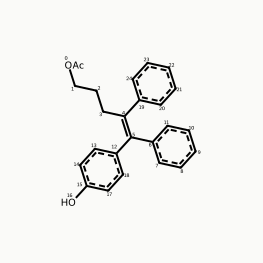 CC(=O)OCCCC(=C(c1ccccc1)c1ccc(O)cc1)c1ccccc1